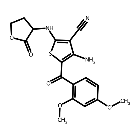 COc1ccc(C(=O)c2sc(NC3CCOC3=O)c(C#N)c2N)c(OC)c1